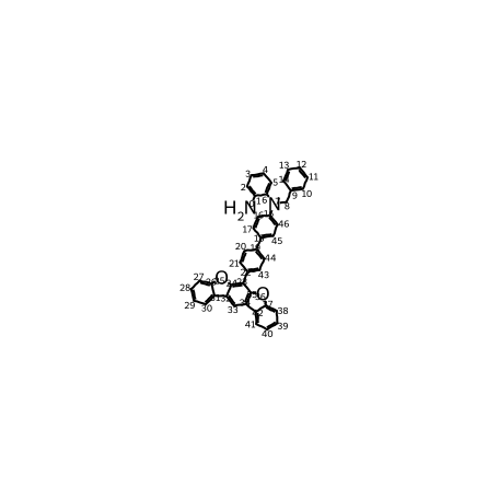 Nc1ccccc1N(Cc1ccccc1)c1ccc(-c2ccc(-c3c4oc5ccccc5c4cc4c3oc3ccccc34)cc2)cc1